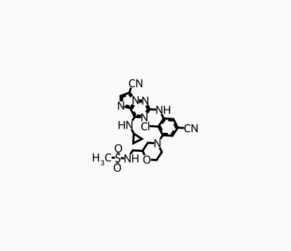 CS(=O)(=O)NCC1CN(c2cc(C#N)cc(Nc3nc(NC4CC4)c4ncc(C#N)n4n3)c2Cl)CCO1